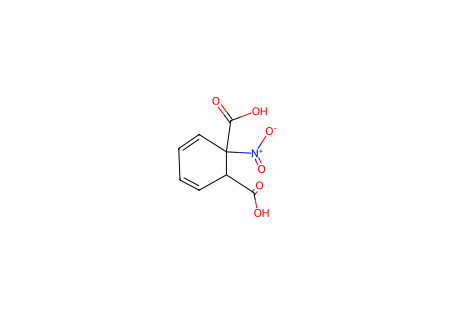 O=C(O)C1C=CC=CC1(C(=O)O)[N+](=O)[O-]